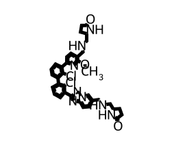 COc1nc(-c2cccc(-c3cccc(-c4nc5ccc(CNCC6CCC(=O)N6)cn5n4)c3Cl)c2Cl)ccc1CNCC1CCC(=O)N1